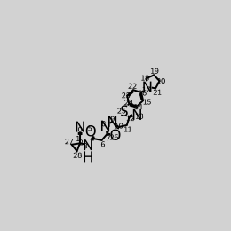 N#CC1(NC(=O)Cc2nnc(Cc3nc4cc(N5CCCC5)ccc4s3)o2)CC1